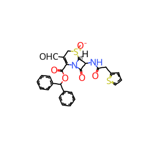 O=CC1=C(C(=O)OC(c2ccccc2)c2ccccc2)N2C(=O)C(NC(=O)Cc3cccs3)[C@@H]2[S+]([O-])C1